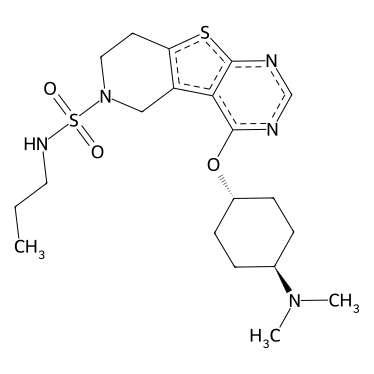 CCCNS(=O)(=O)N1CCc2sc3ncnc(O[C@H]4CC[C@H](N(C)C)CC4)c3c2C1